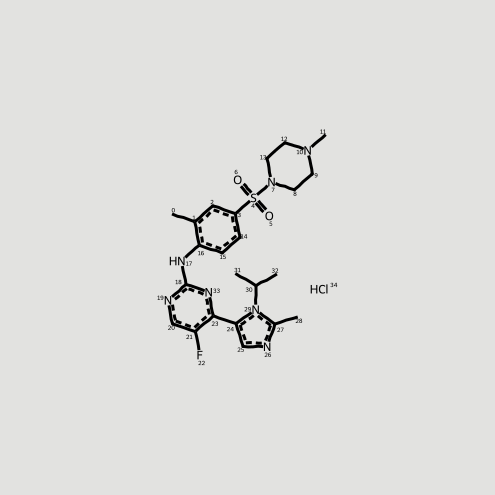 Cc1cc(S(=O)(=O)N2CCN(C)CC2)ccc1Nc1ncc(F)c(-c2cnc(C)n2C(C)C)n1.Cl